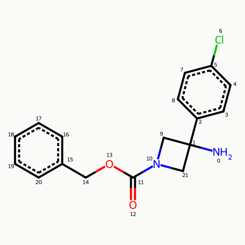 NC1(c2ccc(Cl)cc2)CN(C(=O)OCc2ccccc2)C1